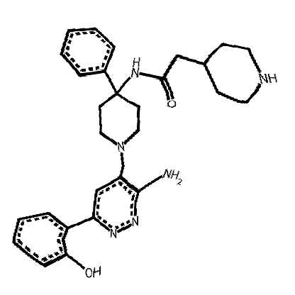 Nc1nnc(-c2ccccc2O)cc1N1CCC(NC(=O)CC2CCNCC2)(c2ccccc2)CC1